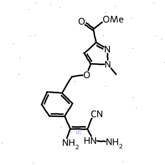 COC(=O)c1cc(OCc2cccc(/C(N)=C(\C#N)NN)c2)n(C)n1